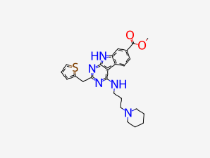 COC(=O)c1ccc2c(c1)[nH]c1nc(Cc3cccs3)nc(NCCCN3CCCCC3)c12